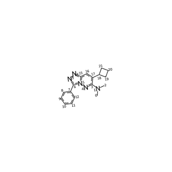 CN(C)c1nn2c(-c3ccccc3)nnc2cc1C1CCC1